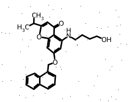 CC(C)c1cc(=O)c2c(NCCCCO)cc(OCc3cccc4ccccc34)cc2o1